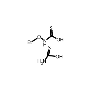 CCONC(O)=S.NC(O)=S